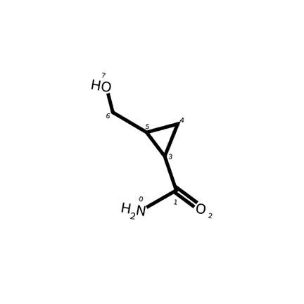 NC(=O)C1CC1CO